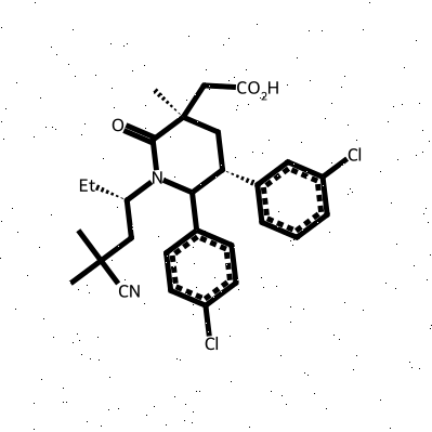 CC[C@@H](CC(C)(C)C#N)N1C(=O)[C@@](C)(CC(=O)O)C[C@H](c2cccc(Cl)c2)C1c1ccc(Cl)cc1